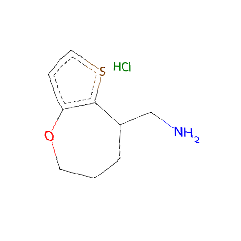 Cl.NCC1CCCOc2ccsc21